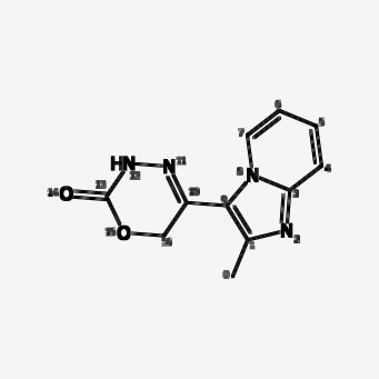 Cc1nc2ccccn2c1C1=NNC(=O)OC1